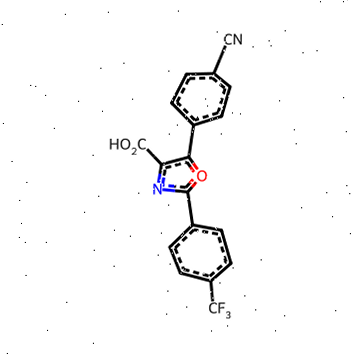 N#Cc1ccc(-c2oc(-c3ccc(C(F)(F)F)cc3)nc2C(=O)O)cc1